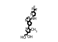 Cc1cc(C(O)CO)cnc1-c1ccc2c(Nc3ccc(C(F)(F)F)cn3)ncnc2c1